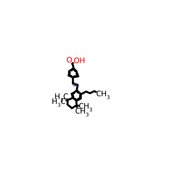 CCCCc1cc2c(cc1/C=C/c1ccc(C(=O)O)cc1)C(C)(C)CCC2(C)C